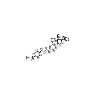 CCOc1ccc(C2=CCC(CCCCC3CCC(C)CC3)CC2)c(Cl)c1F